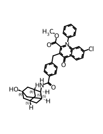 COC(=O)c1c(Cc2ccc(C(=O)N[C@@H]3[C@@H]4C[C@@H]5C[C@H]3C[C@](O)(C5)C4)cc2)c(=O)c2ccc(Cl)cc2n1-c1ccccc1